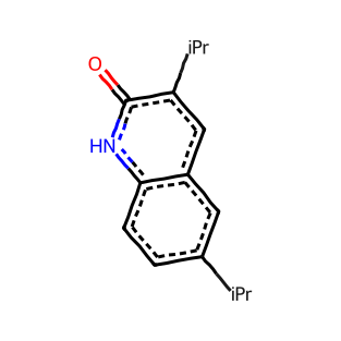 CC(C)c1ccc2[nH]c(=O)c(C(C)C)cc2c1